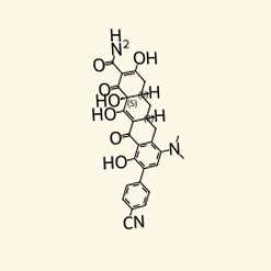 CN(C)c1cc(-c2ccc(C#N)cc2)c(O)c2c1C[C@H]1C[C@H]3CC(O)=C(C(N)=O)C(=O)[C@@]3(O)C(O)=C1C2=O